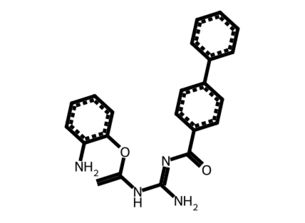 C=C(N/C(N)=N/C(=O)c1ccc(-c2ccccc2)cc1)Oc1ccccc1N